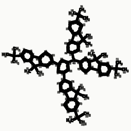 CC(C)(C)c1ccc2c(c1)C(C)(C)c1cc(-c3cc(-c4ccc5c(c4)C(C)(C)c4cc(C(C)(C)C)ccc4-5)cc(N(c4ccc5c(c4)C(C)(C)c4cc(C(C)(C)C)ccc4-5)c4ccc5c(c4)C(C)(C)c4cc(C(C)(C)C)ccc4-5)c3)ccc1-2